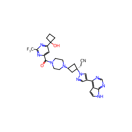 N#CC[C@]1(n2cc(-c3ncnc4[nH]ccc34)cn2)C[C@@H](N2CCN(C(=O)c3cc(C4(O)CCC4)nc(C(F)(F)F)n3)CC2)C1